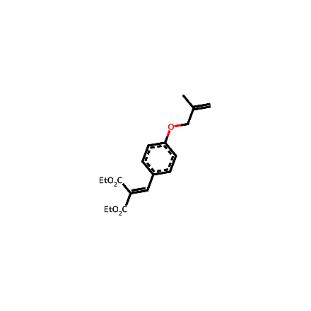 C=C(C)COc1ccc(C=C(C(=O)OCC)C(=O)OCC)cc1